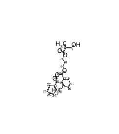 CC(=CO)C(=O)OCCCOC(=O)c1cccc(C)c1C(=O)c1ccccc1